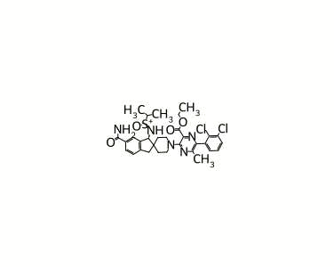 CCOC(=O)c1nc(-c2cccc(Cl)c2Cl)c(C)nc1N1CCC2(CC1)Cc1ccc(C(N)=O)cc1[C@H]2N[S@+]([O-])C(C)C